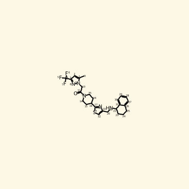 Cc1cc(C(F)(F)F)nn1CC(=O)N1CCC(c2nc(CNC3CCCc4ccccc43)cs2)CC1